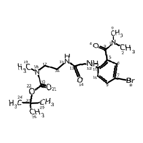 CN(C)C(=O)c1cc(Br)ccc1NC(=O)NCCN(C)C(=O)OC(C)(C)C